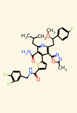 COC(Cc1nc(CC(C)C)c(C(N)=O)c(-c2ccc(C(=O)NCc3ccc(F)c(F)c3)s2)c1-c1nnc(C)o1)c1ccc(F)cc1